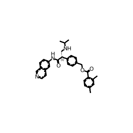 Cc1ccc(C(=O)OCc2ccc([C@@H](CNC(C)C)C(=O)Nc3ccc4cnccc4c3)cc2)c(C)c1